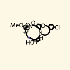 COCCN1[C@@H](C)C/C=C/[C@H](O)[C@@H]2CC[C@H]2CN2CCCCc3cc(Cl)ccc3COc3ccc(cc32)C(=O)NS1(=O)=O